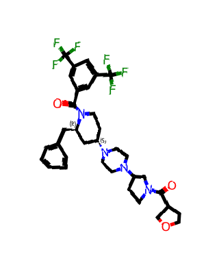 O=C(C1CCOC1)N1CCC(N2CCN([C@H]3CCN(C(=O)c4cc(C(F)(F)F)cc(C(F)(F)F)c4)[C@H](Cc4ccccc4)C3)CC2)C1